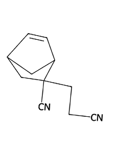 N#CCCC1(C#N)CC2C=CC1C2